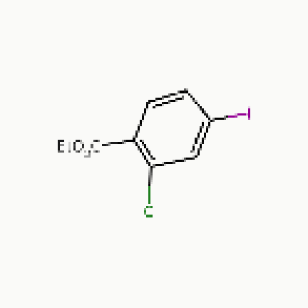 CCOC(=O)c1ccc(I)cc1Cl